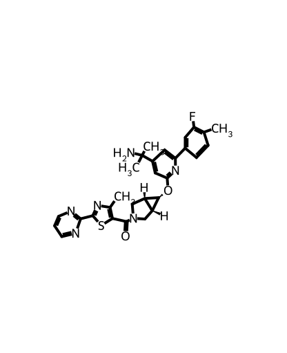 Cc1ccc(-c2cc(C(C)(C)N)cc(O[C@@H]3[C@@H]4CN(C(=O)c5sc(-c6ncccn6)nc5C)C[C@@H]43)n2)cc1F